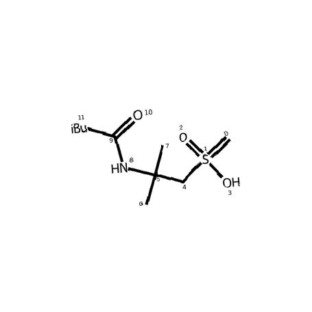 C=S(=O)(O)CC(C)(C)NC(=O)C(C)CC